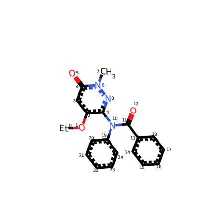 CCOc1cc(=O)n(C)nc1N(C(=O)c1ccccc1)c1ccccc1